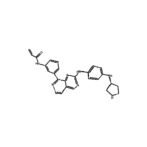 C=CC(=O)Nc1cccc(-c2nccc3cnc(Nc4ccc(N[C@H]5CCNC5)cc4)nc23)c1